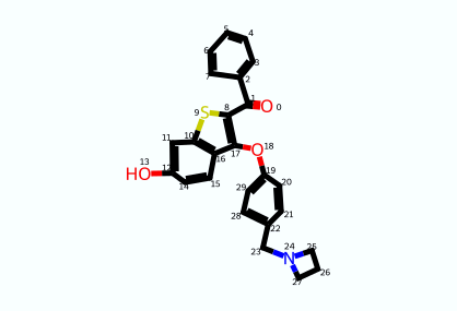 O=C(c1ccccc1)c1sc2cc(O)ccc2c1Oc1ccc(CN2CCC2)cc1